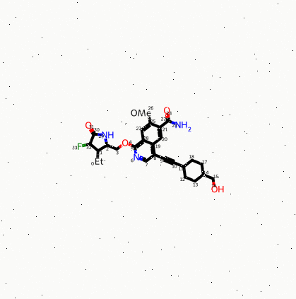 CCC1C(COc2ncc(C#CC3CCC(CO)CC3)c3cc(C(N)=O)c(OC)cc23)NC(=O)C1F